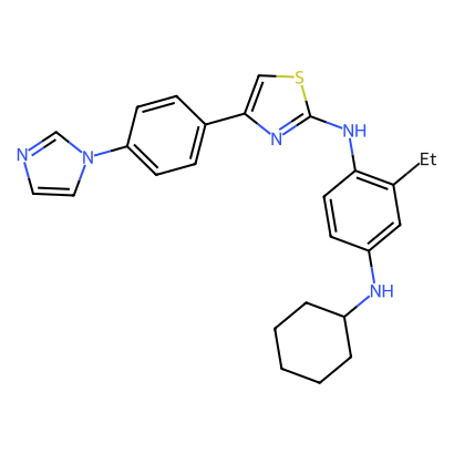 CCc1cc(NC2CCCCC2)ccc1Nc1nc(-c2ccc(-n3ccnc3)cc2)cs1